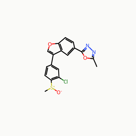 Cc1nnc(-c2ccc3occ(-c4ccc([S+](C)[O-])c(Cl)c4)c3c2)o1